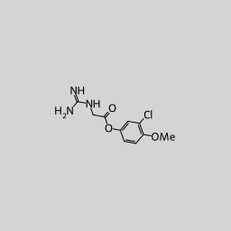 COc1ccc(OC(=O)CNC(=N)N)cc1Cl